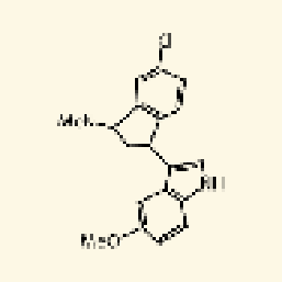 CNC1CC(c2c[nH]c3ccc(OC)cc23)c2ccc(Cl)cc21